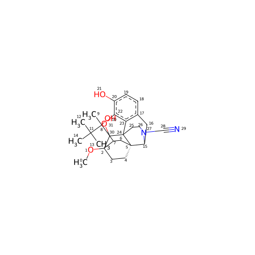 COC12CC[C@@]3(CC1C(C)(O)C(C)(C)C)C1Cc4ccc(O)c5c4C3(CCN1C#N)C2O5